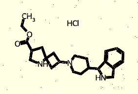 CCOC(=O)C1CNC2(C1)CC(N1CCC(C3NCc4ccccc43)CC1)C2.Cl